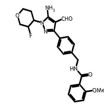 COc1ccccc1C(=O)NCc1ccc(-c2nn(C3CCOCC3F)c(N)c2C=O)cc1